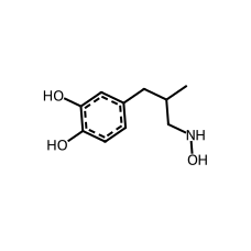 CC(CNO)Cc1ccc(O)c(O)c1